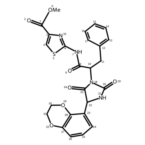 COC(=O)c1csc(NC(=O)C(Cc2ccccc2)N2C(=O)NC(c3cccc4c3OCCO4)C2=O)n1